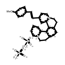 COc1ccc(C=Cc2cc[n+]3c(c2)-c2c(ccc4c2-c2cccc[n+]2CC4)CC3)cc1.O=S(=O)([O-])C(F)(F)F.O=S(=O)([O-])C(F)(F)F